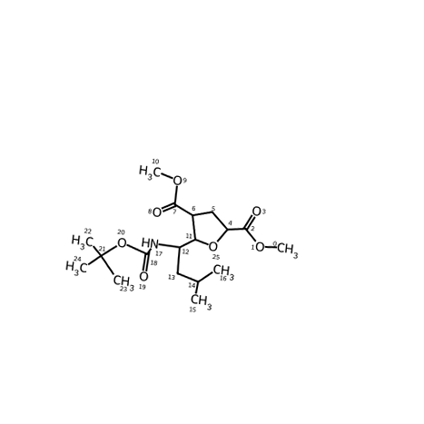 COC(=O)C1CC(C(=O)OC)C(C(CC(C)C)NC(=O)OC(C)(C)C)O1